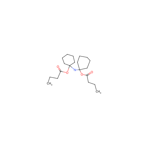 CCCC(=O)OC1([N]C2(OC(=O)CCC)CCCCC2)CCCCC1